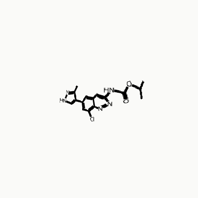 Cc1n[nH]cc1-c1cc(Cl)c2nnc(NC(=O)OC(C)C)cc2c1